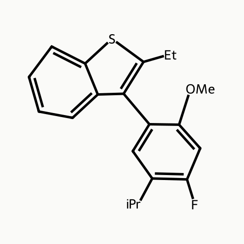 CCc1sc2ccccc2c1-c1cc(C(C)C)c(F)cc1OC